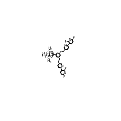 CC1(C)OB(c2cc(CCc3ccc(-c4ccc(F)nc4F)nc3)cc(CCc3ccc(-c4ccc(F)nc4F)nc3)c2)OC1(C)C